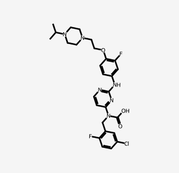 CC(C)N1CCN(CCOc2ccc(Nc3nccc(N(Cc4cc(Cl)ccc4F)C(=O)O)n3)cc2F)CC1